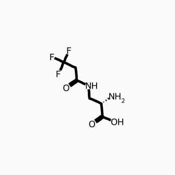 N[C@@H](CNC(=O)CC(F)(F)F)C(=O)O